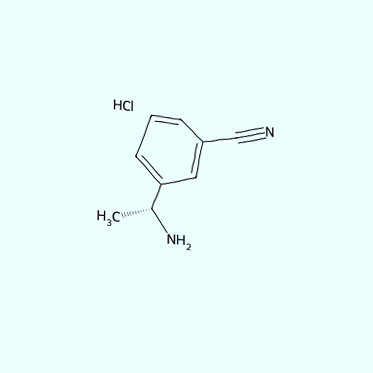 C[C@@H](N)c1cccc(C#N)c1.Cl